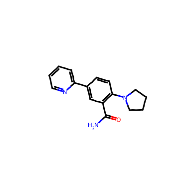 NC(=O)c1cc(-c2ccccn2)ccc1N1CCCC1